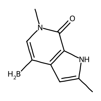 Bc1cn(C)c(=O)c2[nH]c(C)cc12